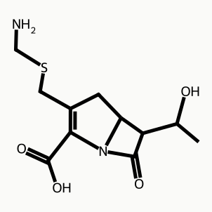 CC(O)C1C(=O)N2C(C(=O)O)=C(CSCN)CC12